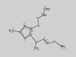 Cc1cc(C(C)/C=C/CN)n(CCNC=O)n1